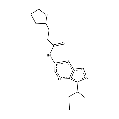 CCC(C)n1ncc2cc(NC(=O)CCC3CCCO3)cnc21